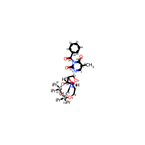 Cc1cn([C@@H]2O[C@H]3C4CO[Si](C(C)C)(C(C)C)O[Si](C(C)C)(C(C)C)O[C@@H]3C2ON4C)c(=O)n(C(=O)c2ccccc2)c1=O